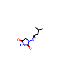 CC(C)C/C=N/N1CC(=O)NC1=O